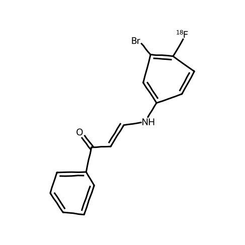 O=C(C=CNc1ccc([18F])c(Br)c1)c1ccccc1